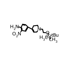 CC(C)(C)[Si](C)(C)OCCN1CC=C(c2ccc(N)c([N+](=O)[O-])c2)CC1